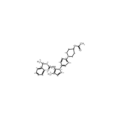 CC(=O)OC1CCN(c2ccc(-n3ncc(C)c3NC(=O)OC(C)c3ccccc3)cn2)CC1